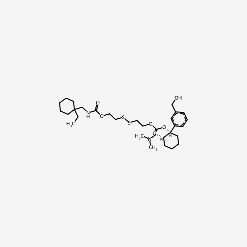 CCC1(CNC(=O)OCCSSCCOC(=O)O[C@]2(c3cccc(CO)c3)CCCC[C@@H]2CN(C)C)CCCCC1